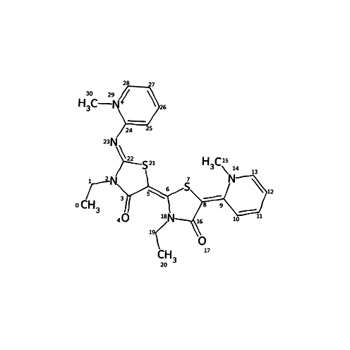 CCN1C(=O)/C(=c2/s/c(=C3/C=CC=CN3C)c(=O)n2CC)S/C1=N\c1cccc[n+]1C